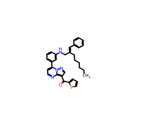 CCCCCC/C(=C\c1ccccc1)CNc1cccc(-c2ccnc3c(C(=O)c4cccs4)cnn23)c1